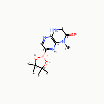 CC(C)N1C(=O)CNc2ncc(B3OC(C)(C)C(C)(C)O3)nc21